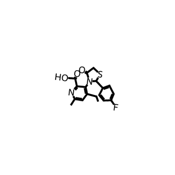 CCc1cc(C)nc(C(=O)O)c1N1C(=O)CSC1c1ccc(F)cc1